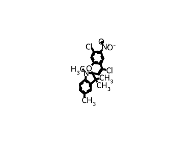 Cc1ccc2c(c1)C(C)(C)C1(C=C(Cl)c3cc([N+](=O)[O-])c(Cl)cc3O1)N2C